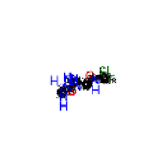 Nc1ncc(-c2cccc(C(=O)NCc3ccc(F)cc3Cl)c2)nc1C(=O)N[C@H]1CCCNC1